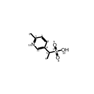 Cc1ccc(C(C)S(=O)(=O)O)cn1